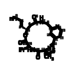 CCC/C=C/[C@@H]1CC(=O)NCc2cc(ccn2)C2=N[C@@](C)(CS2)C(=O)N[C@@H](C(C)C)C(=O)O1